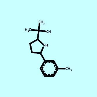 Cc1cccc(C2CCC(C(C)(C)C#N)N2)c1